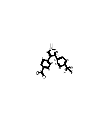 O=C(O)c1ccc(-c2c[nH]nc2-c2ccc(C(F)(F)F)cc2)cc1